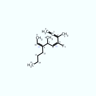 C=C=C(C)/C(F)=C\C(C)/C(=C\C)CCCC